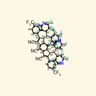 N#CC1=C(c2ccc(C(F)(F)F)cc2)C(C(c2c(F)c(F)nc(F)c2F)c2c(F)c(F)nc(F)c2F)c2c(C#N)c3c(c(C#N)c21)C(C#N)=C(c1ccc(C(F)(F)F)cc1)C3C(c1c(F)c(F)nc(F)c1F)c1c(F)c(F)nc(F)c1F